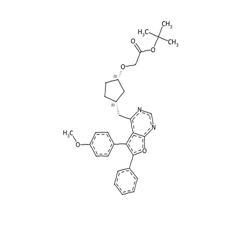 COc1ccc(-c2c(-c3ccccc3)oc3ncnc(C[C@@H]4CC[C@H](OCC(=O)OC(C)(C)C)C4)c23)cc1